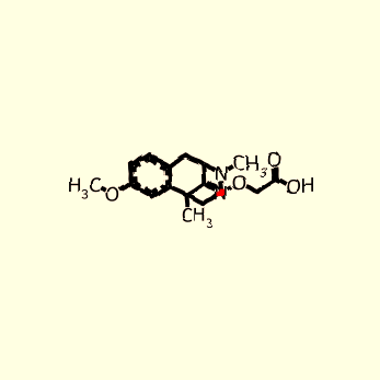 COc1ccc2c(c1)C1(C)CCN(C)C(C2)C1=NOCC(=O)O